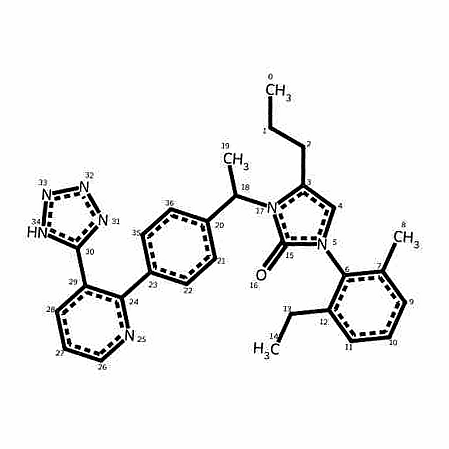 CCCc1cn(-c2c(C)cccc2CC)c(=O)n1C(C)c1ccc(-c2ncccc2-c2nnn[nH]2)cc1